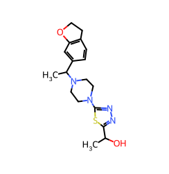 CC(O)c1nnc(N2CCN(C(C)c3ccc4c(c3)OCC4)CC2)s1